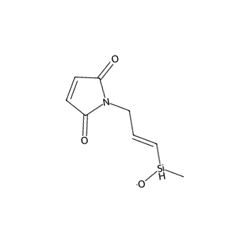 C[SiH]([O])C=CCN1C(=O)C=CC1=O